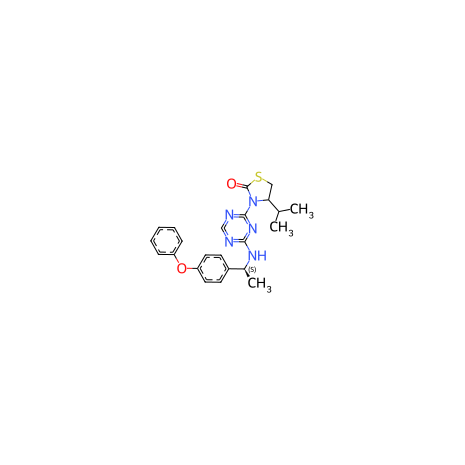 CC(C)C1CSC(=O)N1c1ncnc(N[C@@H](C)c2ccc(Oc3ccccc3)cc2)n1